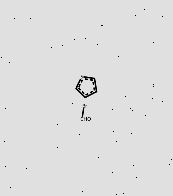 O=CBr.c1ccsc1